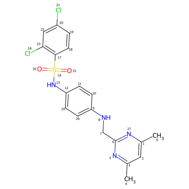 Cc1cc(C)nc(CNc2ccc(NS(=O)(=O)c3ccc(Cl)cc3Cl)cc2)n1